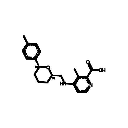 Cc1ccc([C@@H]2CCC[C@H](CNc3ccnc(C(=O)O)c3C)O2)cc1